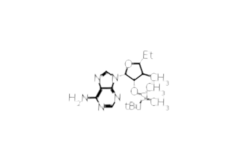 CC[C@H]1O[C@@H](n2cnc3c(N)ncnc32)[C@@H](O[Si](C)(C)C(C)(C)C)C1C